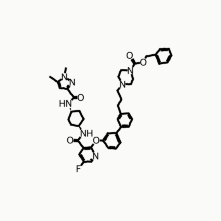 Cc1cc(C(=O)N[C@H]2CC[C@H](NC(=O)c3cc(F)cnc3Oc3cccc(-c4cccc(CCCN5CCN(C(=O)OCc6ccccc6)CC5)c4)c3)CC2)nn1C